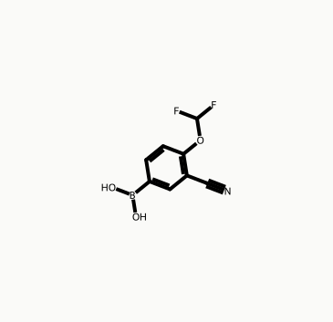 N#Cc1cc(B(O)O)ccc1OC(F)F